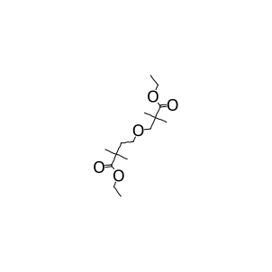 CCOC(=O)C(C)(C)CCOCC(C)(C)C(=O)OCC